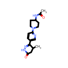 CC(=O)NC1CCN(c2ccc(C3=NNC(=O)CC3C)cn2)CC1